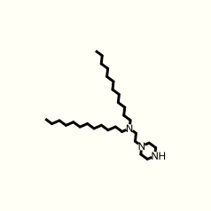 CCCCCCCCCCCCN(CCCCCCCCCCCC)CCN1CCNCC1